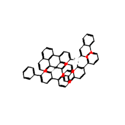 c1ccc(-c2ccc3c(c2)[C@@]2(c4cc(N(c5ccc6ccccc6c5)c5c(-c6ccccc6)ccc6ccccc56)ccc4-c4cccc5cccc2c45)c2cccc4cccc-3c24)cc1